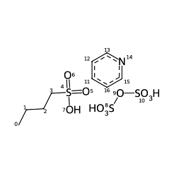 CCCCS(=O)(=O)O.O=S(=O)(O)OS(=O)(=O)O.c1ccncc1